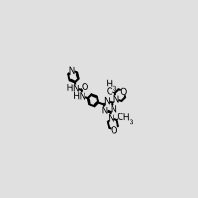 C[C@H]1COCCN1c1nc(-c2ccc(NC(=O)Nc3ccncc3)cc2)nc(N2CCOC[C@@H]2C)n1